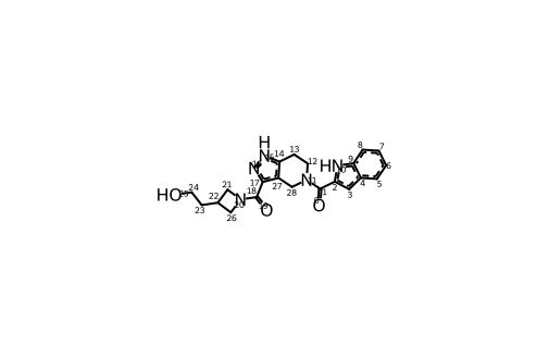 O=C(c1cc2ccccc2[nH]1)N1CCc2[nH]nc(C(=O)N3CC(CCO)C3)c2C1